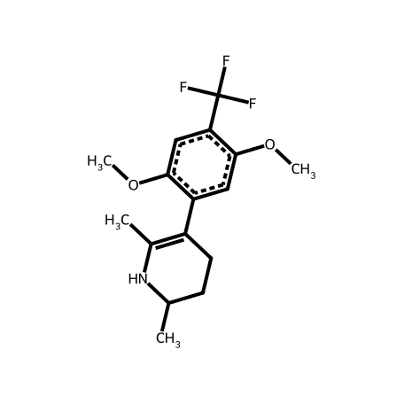 COc1cc(C(F)(F)F)c(OC)cc1C1=C(C)NC(C)CC1